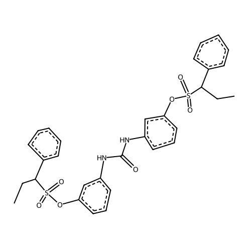 CCC(c1ccccc1)S(=O)(=O)Oc1cccc(NC(=O)Nc2cccc(OS(=O)(=O)C(CC)c3ccccc3)c2)c1